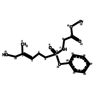 C/C(=C\CCP(=O)(NCC(=O)OC(C)C)Oc1ccccc1)CO